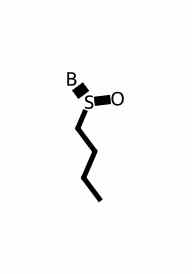 B#S(=O)CCCC